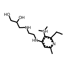 CCc1nc(C)cc(NCCNCC(O)CO)c1[SH](C)C